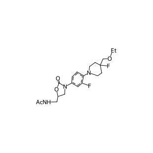 CCOCC1(F)CCN(c2ccc(N3CC(CNC(C)=O)OC3=O)cc2F)CC1